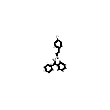 Fc1ccc(CC=NN=C(c2ccccc2)c2ccccc2)cc1